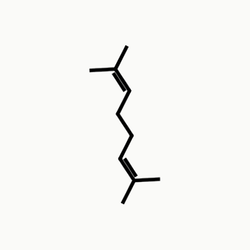 CC(C)=CCCC=C(C)C